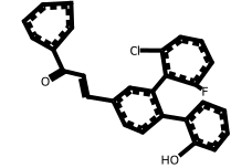 O=C(C=Cc1ccc(-c2ccccc2O)c(-c2c(F)cccc2Cl)c1)c1ccccc1